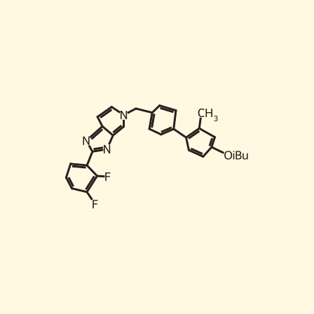 Cc1cc(OCC(C)C)ccc1-c1ccc(Cn2ccc3nc(-c4cccc(F)c4F)nc-3c2)cc1